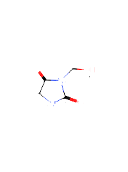 O=C1C[N]C(=O)N1CO